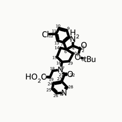 CC(C)(C)OC(=O)C(N)C1(c2cccc(Cl)c2)CCC(N(CCC(=O)O)C(=O)c2cccnc2)CC1